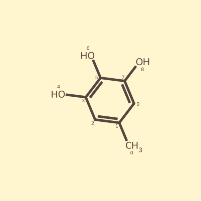 Cc1cc(O)c(O)c(O)c1